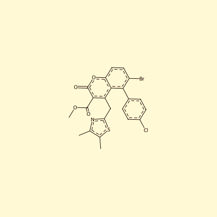 COC(=O)c1c(Cc2nc(C)c(C)s2)c2c(-c3ccc(Cl)cc3)c(Br)ccc2oc1=O